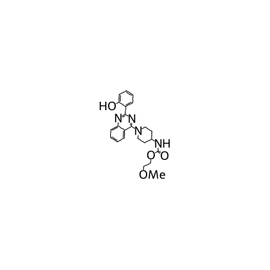 COCCOC(=O)NC1CCN(c2nc(-c3ccccc3O)nc3ccccc23)CC1